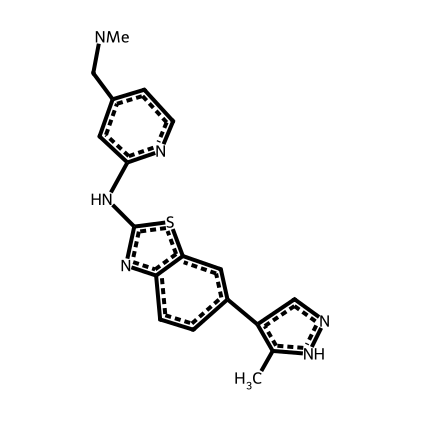 CNCc1ccnc(Nc2nc3ccc(-c4cn[nH]c4C)cc3s2)c1